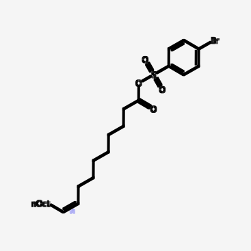 CCCCCCCC/C=C\CCCCCCCC(=O)OS(=O)(=O)c1ccc(Br)cc1